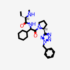 CC[C@H](NC)C(=O)NC(C(=O)N1CCC[C@H]1c1nnn(Cc2ccccc2)n1)C1CCCCC1